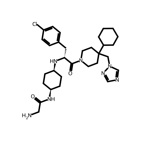 NCC(=O)N[C@H]1CC[C@@H](N[C@H](Cc2ccc(Cl)cc2)C(=O)N2CCC(Cn3cncn3)(C3CCCCC3)CC2)CC1